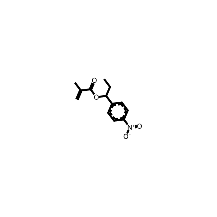 C=C(C)C(=O)OC(CC)c1ccc([N+](=O)[O-])cc1